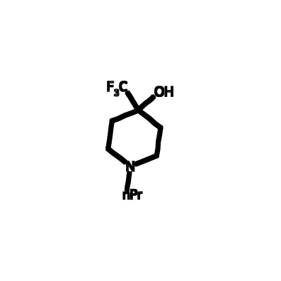 CCCN1CCC(O)(C(F)(F)F)CC1